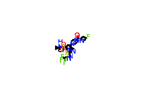 CC1(NS(=O)(=O)c2cc(N3CCN(C(=O)[C@H]4C[C@H](F)CN4)CC3)c3cnc(-c4nnc(C(F)(F)F)s4)n3c2)CC1